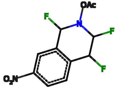 CC(=O)ON1C(F)c2cc([N+](=O)[O-])ccc2C(F)C1F